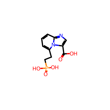 O=C(O)c1cnc2cccc(CCP(=O)(O)O)n12